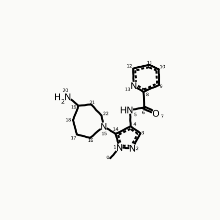 Cn1ncc(NC(=O)c2ccccn2)c1N1CCCC(N)CC1